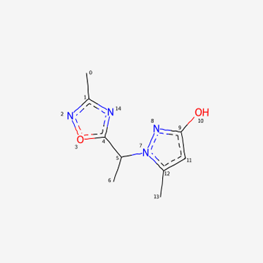 Cc1noc(C(C)n2nc(O)cc2C)n1